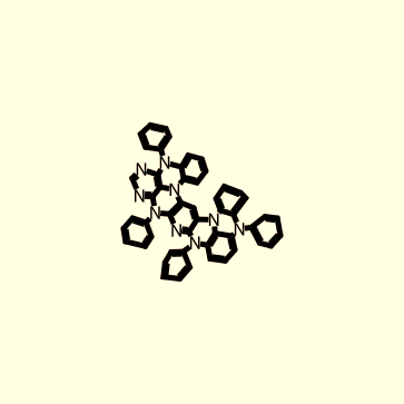 c1ccc(-n2c3ccccc3n3c4cc5c(nc4n(-c4ccccc4)c4cccc2c43)n(-c2ccccc2)c2ncnc3c2n5c2ccccc2n3-c2ccccc2)cc1